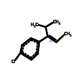 C/C=C(/c1ccc(Cl)cc1)C(C)C